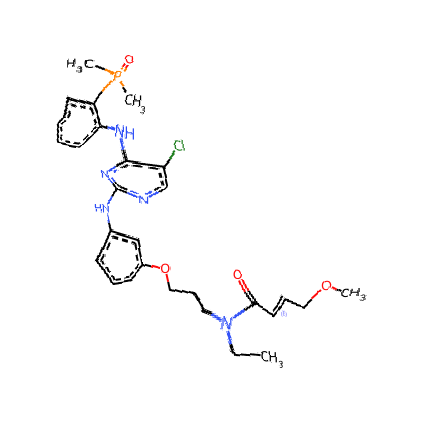 CCN(CCCOc1cccc(Nc2ncc(Cl)c(Nc3ccccc3P(C)(C)=O)n2)c1)C(=O)/C=C/COC